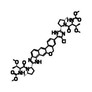 COC(=O)NC(C(=O)N1[C@@H](C)CC[C@H]1c1nc2ccc3cc4c(cc3c2[nH]1)OCc1cc(-c2[nH]c([C@@H]3CC[C@H](C)N3C(=O)[C@@H](NC(=O)OC)[C@@H](C)OC)nc2Cl)ccc1-4)[C@@H](C)OC